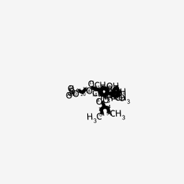 CCCC(CCC)C(=O)Oc1cc(C(C)(C)C(=O)OCCCO[N+](=O)[O-])cc(O)c1[C@H]1CC(=O)[C@H]2C[C@H]1C2(C)C